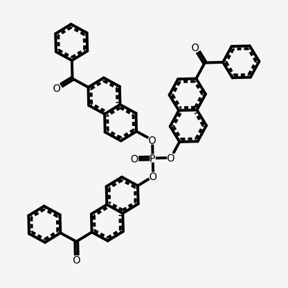 O=C(c1ccccc1)c1ccc2cc(OP(=O)(Oc3ccc4cc(C(=O)c5ccccc5)ccc4c3)Oc3ccc4cc(C(=O)c5ccccc5)ccc4c3)ccc2c1